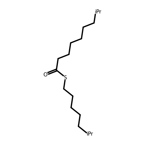 CC(C)CCCCCCC(=O)SCCCCCC(C)C